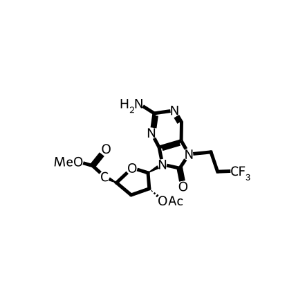 COC(=O)C[C@@H]1C[C@@H](OC(C)=O)[C@H](n2c(=O)n(CCC(F)(F)F)c3cnc(N)nc32)O1